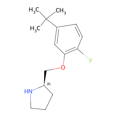 CC(C)(C)c1ccc(F)c(OC[C@H]2CCCN2)c1